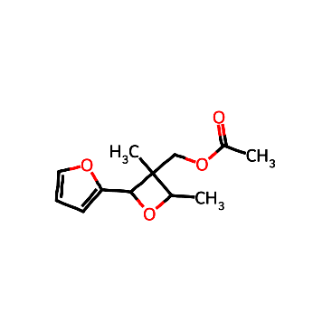 CC(=O)OCC1(C)C(C)OC1c1ccco1